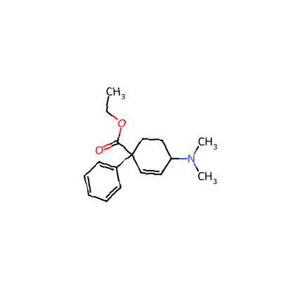 CCOC(=O)C1(c2ccccc2)C=CC(N(C)C)CC1